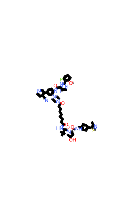 COc1cccc(F)c1-c1nccc(C(=O)Nc2ccc(-c3cnccc3C#N)cc2N2CCN(C(=O)CCCCCCCC(=O)N[C@H](C(=O)N3C[C@H](O)C[C@H]3C(=O)NCc3ccc(-c4scnc4C)cc3)C(C)(C)C)CC2)n1